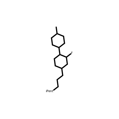 CCCC(C)CCCC1CCC(C2CCC(C)CC2)C(F)C1